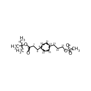 CC(C)(C)OC(=O)CCc1ccc(CCCOS(C)(=O)=O)cc1